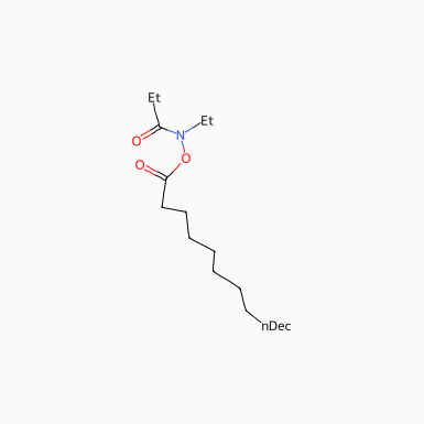 CCCCCCCCCCCCCCCCCC(=O)ON(CC)C(=O)CC